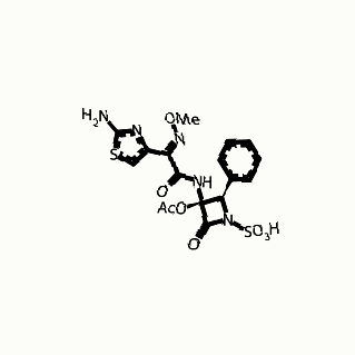 CON=C(C(=O)N[C@@]1(OC(C)=O)C(=O)N(S(=O)(=O)O)[C@@H]1c1ccccc1)c1csc(N)n1